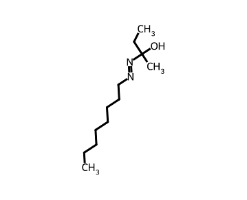 CCCCCCCCN=NC(C)(O)CC